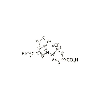 CCOC(=O)c1nn(-c2ccc(C(=O)O)cc2C(F)(F)F)c2c1CCC2